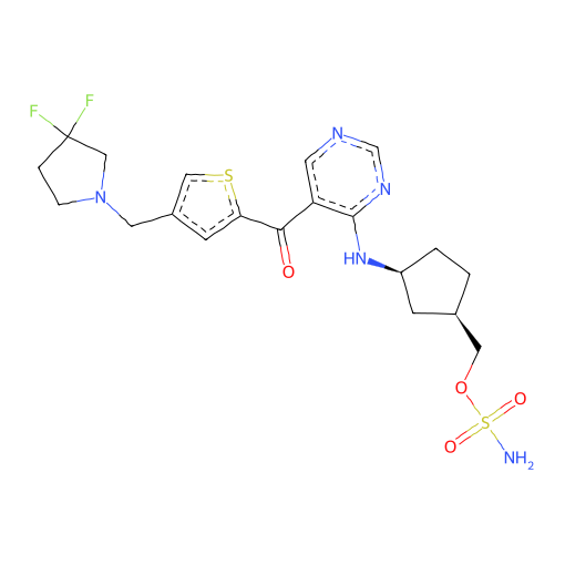 NS(=O)(=O)OC[C@@H]1CC[C@H](Nc2ncncc2C(=O)c2cc(CN3CCC(F)(F)C3)cs2)C1